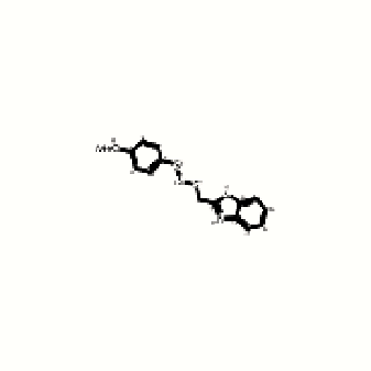 COc1ccc(SSSCc2nc3ccccc3s2)cc1